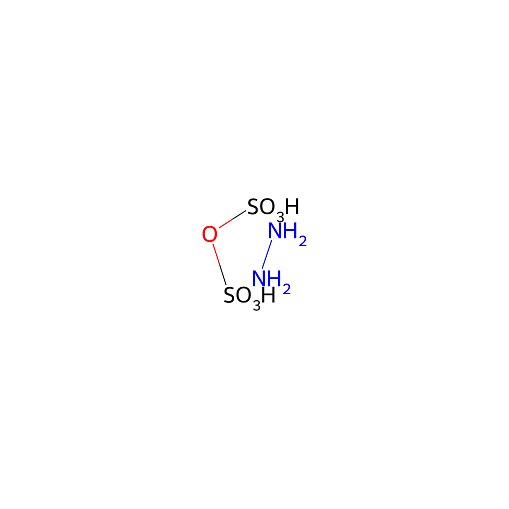 NN.O=S(=O)(O)OS(=O)(=O)O